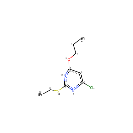 CC(C)CCOc1cc(Cl)nc(SCC(C)C)n1